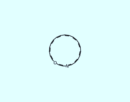 C1=CC=CC=CC=CC=COC=CN=CC=CC=CC=CC=C1